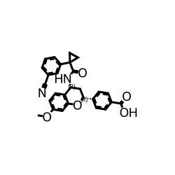 COc1ccc2c(c1)O[C@@H](c1ccc(C(=O)O)cc1)C[C@H]2NC(=O)C1(c2cccc(C#N)c2)CC1